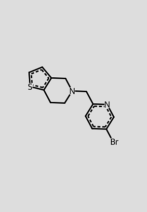 Brc1ccc(CN2CCc3sccc3C2)nc1